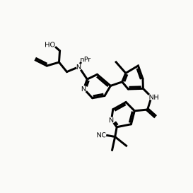 C=CC(CO)CN(CCC)c1cc(-c2cc(NC(=C)c3ccnc(C(C)(C)C#N)c3)ccc2C)ccn1